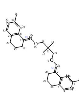 Cc1ncc2c(n1)/C(=N/OCC(C)(C)CO/N=C1\CCCc3cnc(C)nc31)CCC2